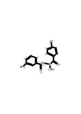 CCc1ccc(C(=O)N(NC(=O)c2cccc(Br)c2)C(C)(C)C)cc1